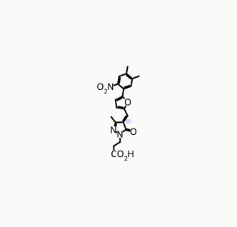 CC1=NN(CCC(=O)O)C(=O)/C1=C/c1ccc(-c2cc(C)c(C)cc2[N+](=O)[O-])o1